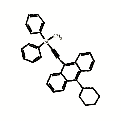 C[Si](C#Cc1c2ccccc2c(C2CCCCC2)c2ccccc12)(c1ccccc1)c1ccccc1